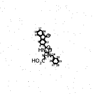 O=C(O)CC[C@H](NC(=O)c1ccc2c(c1)C(=O)c1ccccc1-2)C(=O)NCc1ccccc1